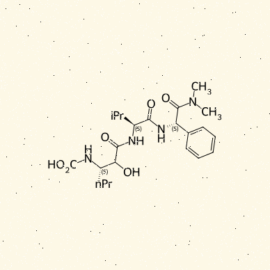 CCC[C@H](NC(=O)O)C(O)C(=O)N[C@H](C(=O)N[C@H](C(=O)N(C)C)c1ccccc1)C(C)C